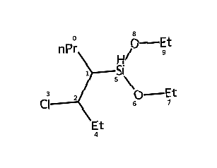 CCCC(C(Cl)CC)[SiH](OCC)OCC